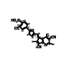 CC1=C(C#N)c2nc(C)c(C#N)c(C)c2/C1=C/c1ccc(-c2ccc(C(=O)O)c(Cl)c2)o1